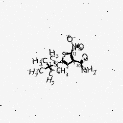 CC(C)(C)[Si](C)(C)c1cc(C(N)=O)c([N+](=O)[O-])s1